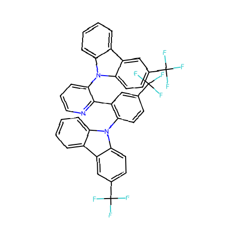 FC(F)(F)c1ccc(-n2c3ccccc3c3cc(C(F)(F)F)ccc32)c(-c2ncccc2-n2c3ccccc3c3cc(C(F)(F)F)ccc32)c1